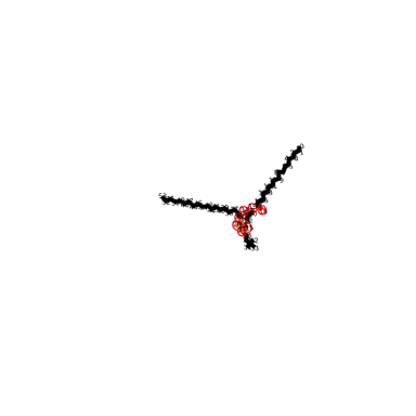 CCCCCCCCCCCCCCCCCC(=O)OCC(COS(=O)(=O)OCCC(C)(C)C)OC(=O)CCCCCCCCCCCCCCCCC